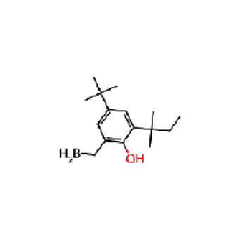 BCc1cc(C(C)(C)C)cc(C(C)(C)CC)c1O